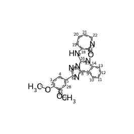 COc1ccc(-c2nc3c4ccccc4nc(Nc4ccccnc4=O)n3n2)cc1OC